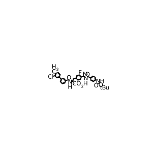 Cc1ccc(-c2cccc(C(=O)N[C@H](Cc3ccc(-c4noc(-c5ccc(NC(=O)OC(C)(C)C)cc5)n4)c(F)c3)C(=O)O)c2)cc1Cl